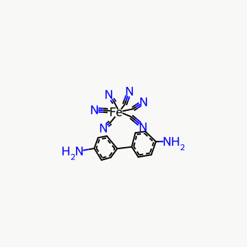 N#[C][Fe]([C]#N)([C]#N)([C]#N)([C]#N)[C]#N.Nc1ccc(-c2ccc(N)cc2)cc1